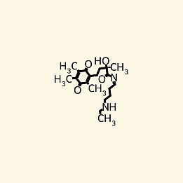 CCNCCC/C=N\C(=O)[C@@](C)(O)CCC1=C(C)C(=O)C(C)=C(C)C1=O